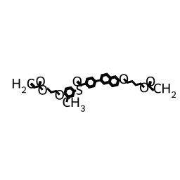 C=CC(=O)OCCCCOc1ccc2cc(-c3ccc(C(=O)Sc4ccc(OCCCOC(=O)C=C)c(C)c4)cc3)ccc2c1